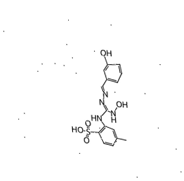 Cc1ccc(S(=O)(=O)O)c(NC(=NN=Cc2cccc(O)c2)NO)c1